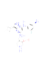 N#Cc1cc(F)cc(Nc2cc(NCC3CCNCC3O)nc3c(C4CCC4)cnn23)c1